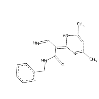 CC1=CC(C)=N/C(=C(/C=N)C(=O)NCc2ccccc2)N1